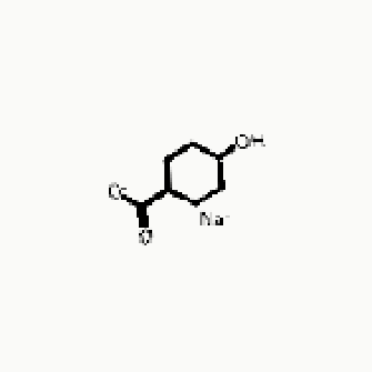 O=C([O-])C1CCC(O)CC1.[Na+]